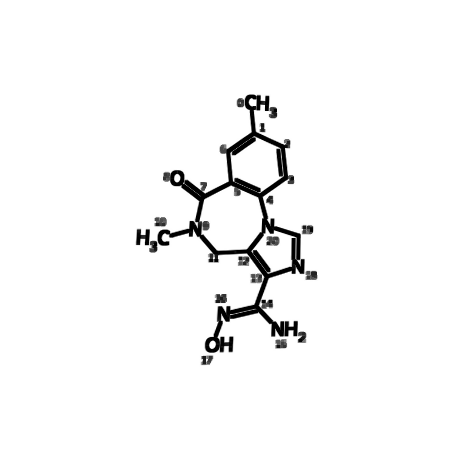 Cc1ccc2c(c1)C(=O)N(C)Cc1c(C(N)=NO)ncn1-2